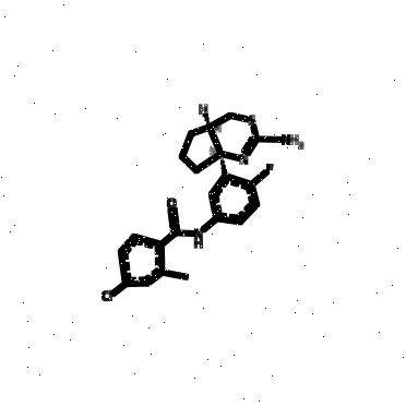 Cc1cc(Cl)ccc1C(=O)Nc1ccc(F)c([C@]23CCC[C@H]2CSC(N)=N3)c1